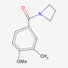 COc1ccc(C(=O)N2CCC2)cc1C